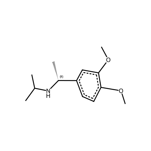 COc1ccc([C@@H](C)NC(C)C)cc1OC